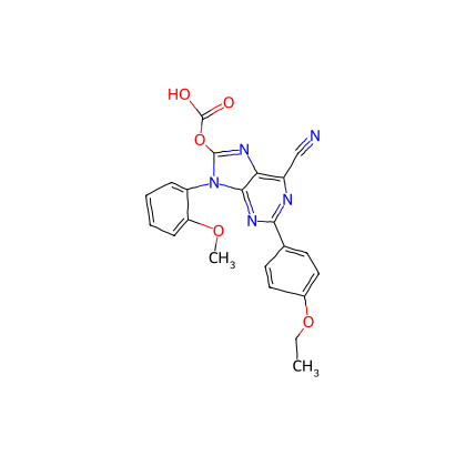 CCOc1ccc(-c2nc(C#N)c3nc(OC(=O)O)n(-c4ccccc4OC)c3n2)cc1